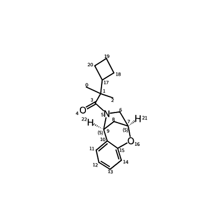 CC(C)(C(=O)N1C[C@@H]2C[C@H]1c1ccccc1O2)C1CCC1